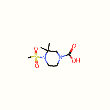 CC1(C)CN(C(=O)O)CCN1S(C)(=O)=O